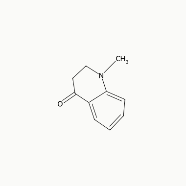 CN1CCC(=O)c2ccccc21